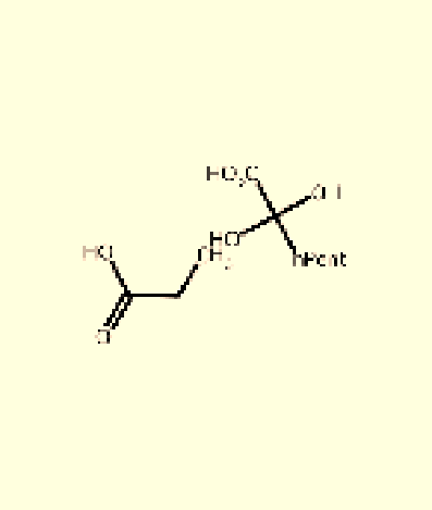 CCC(=O)O.CCCCCC(O)(O)C(=O)O